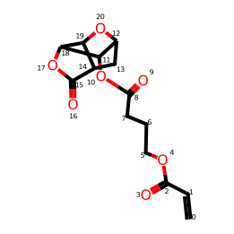 C=CC(=O)OCCCC(=O)OC1C2CC3C(=O)OC1C3O2